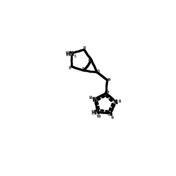 C1NCC2C1C2Cc1nn[nH]n1